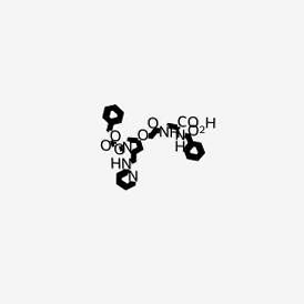 O=C(COC1CC(CNc2ccccn2)N(OC(=O)OCc2ccccc2)C1)NCC(NC(=O)c1ccccc1)C(=O)O